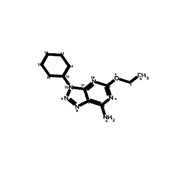 CCOc1nc(N)c2nnn(C3CCCCC3)c2n1